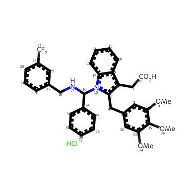 COc1cc(Cc2c(CC(=O)O)c3ccccc3n2C(NCc2cccc(C(F)(F)F)c2)c2ccccc2)cc(OC)c1OC.Cl